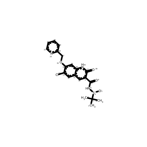 CC(C)(C)[S+]([O-])NC(=O)c1cc2cc(Cl)c(OCc3ccccn3)cc2[nH]c1=O